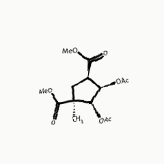 COC(=O)[C@@H]1C[C@](C)(C(=O)OC)[C@H](OC(C)=O)[C@@H]1OC(C)=O